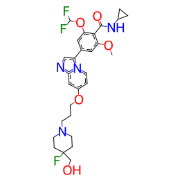 COc1cc(-c2cnc3cc(OCCCN4CCC(F)(CO)CC4)ccn23)cc(OC(F)F)c1C(=O)NC1CC1